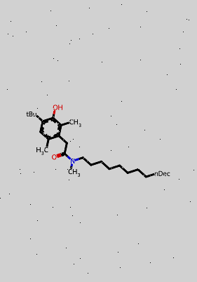 CCCCCCCCCCCCCCCCCCN(C)C(=O)Cc1c(C)cc(C(C)(C)C)c(O)c1C